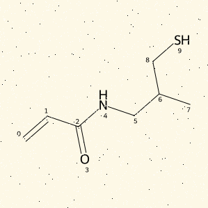 C=CC(=O)NCC(C)CS